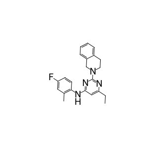 CCc1cc(Nc2ccc(F)cc2C)nc(N2CCc3ccccc3C2)n1